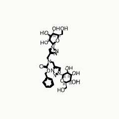 O=C(OCc1ccccc1)N(Cc1cn([C@H]2O[C@H](CO)[C@@H](O)[C@H](O)[C@@H]2O)nn1)Cc1cn([C@H]2O[C@H](CO)[C@@H](O)[C@H](O)[C@@H]2O)nn1